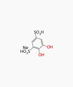 O=S(=O)(O)c1cc(O)c(O)c(S(=O)(=O)O)c1.[Na]